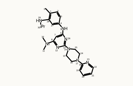 Cc1ccc(Nc2cc(N(C)C)nc(N3CCN(c4ccccn4)CC3)n2)cc1NC(C)C